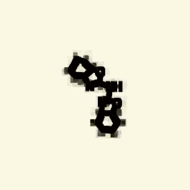 c1ccc2oc(Nc3nc4ccccc4o3)nc2c1